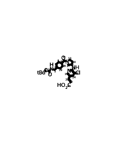 CC(C)(C)OC(=O)NCC1CCC(C(=O)N2CC[C@@H](Nc3ncc(/C=C/C(=O)O)cc3Cl)C2)CC1